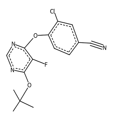 CC(C)(C)Oc1ncnc(Oc2ccc(C#N)cc2Cl)c1F